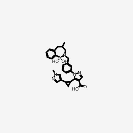 CC1Cc2ccccc2S(O)(O)N(Cc2cccc(-n3ncc(C(=O)O)c3C3CC3c3cnn(C)c3)c2)C1